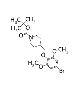 COc1cc(Br)cc(OC)c1OCC1CCN(C(=O)OC(C)(C)C)CC1